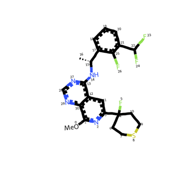 COc1nc(C2(F)CCSCC2)cc2c(N[C@H](C)c3cccc(C(F)F)c3F)ncnc12